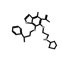 C=C(C)c1c(OCCNC2CCCC2)c(OCCC(C)c2ccccc2)c2occc2c1C